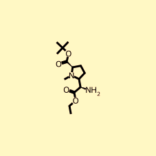 CCOC(=O)[C@H](N)C1CC[C@H](C(=O)OC(C)(C)C)N1C